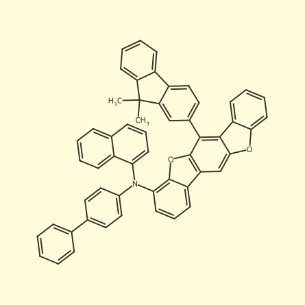 CC1(C)c2ccccc2-c2ccc(-c3c4oc5c(N(c6ccc(-c7ccccc7)cc6)c6cccc7ccccc67)cccc5c4cc4oc5ccccc5c34)cc21